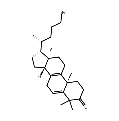 CC(C)CCC[C@@H](C)[C@H]1CC[C@H]2C3=C(CC[C@]12C)[C@@]1(C)CCC(=O)C(C)(C)C1=CC3